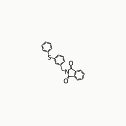 O=C1c2ccccc2C(=O)N1Cc1cccc(Sc2ccccc2)c1